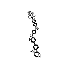 Cn1c2ccncc2c2ccc(-c3ccc(O[C@H]4C[C@H](N(C)C5CC6(C5)CN(C(=O)OC(C)(C)C)C6)C4)nc3)cc21